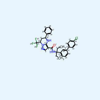 CCC(CC)(NC(=O)c1cnn2c1NC(c1ccccc1)CC2C(F)(F)F)c1cccc(-c2ccc(Cl)cc2)c1